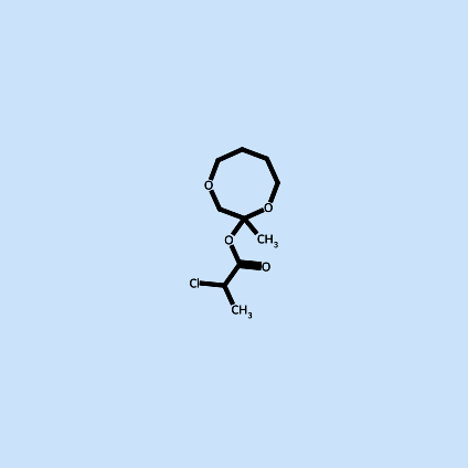 CC(Cl)C(=O)OC1(C)COCCCCO1